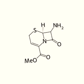 COC(=O)C1=CCS[C@H]2C(N)C(=O)N12